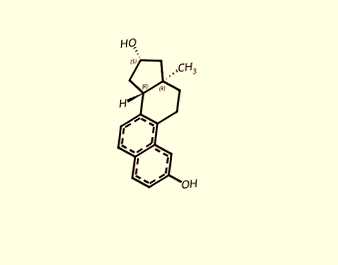 C[C@]12CCc3c(ccc4ccc(O)cc34)[C@@H]1C[C@H](O)C2